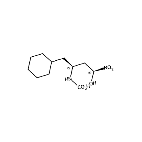 O=C(O)N[C@@H](CC1CCCCC1)C[C@H](O)[N+](=O)[O-]